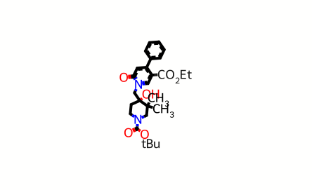 CCOC(=O)c1cn(CC2(O)CCN(C(=O)OC(C)(C)C)CC2(C)C)c(=O)cc1-c1ccccc1